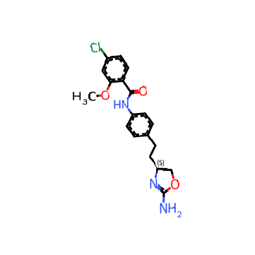 COc1cc(Cl)ccc1C(=O)Nc1ccc(CC[C@H]2COC(N)=N2)cc1